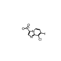 O=[N+]([O-])c1cnc2c(Cl)c(I)ccn12